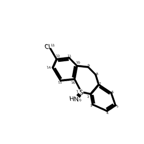 N=S1c2ccccc2CCc2cc(Cl)ccc21